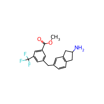 COC(=O)c1cc(Cc2ccc3c(c2)CC(N)C3)cc(C(F)(F)F)c1